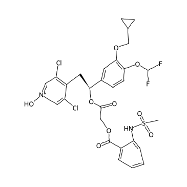 CS(=O)(=O)Nc1ccccc1C(=O)OCC(=O)O[C@@H](Cc1c(Cl)c[n+](O)cc1Cl)c1ccc(OC(F)F)c(OCC2CC2)c1